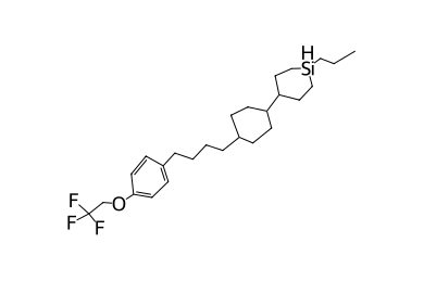 CCC[SiH]1CCC(C2CCC(CCCCc3ccc(OCC(F)(F)F)cc3)CC2)CC1